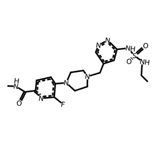 CCNS(=O)(=O)Nc1cc(CN2CCN(c3ccc(C(=O)NC)nc3F)CC2)cnn1